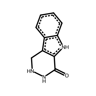 O=C1NNCc2c1[nH]c1ccccc21